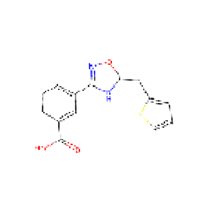 O=C(O)c1cccc(C2=NOC(Cc3cccs3)N2)c1